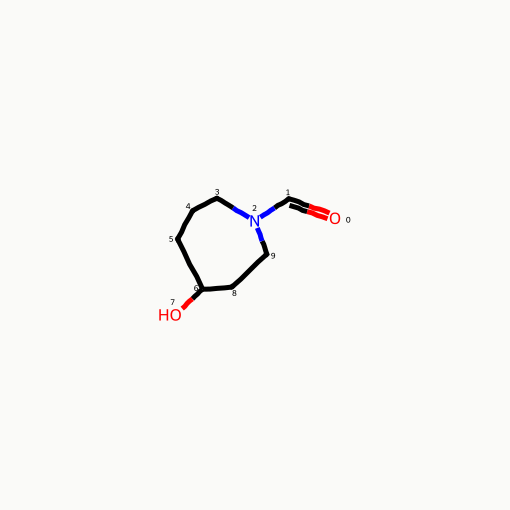 O=CN1CCCC(O)CC1